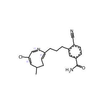 CC1\C=C(Cl)/C=N\C(CCCc2cc(C(N)=O)ccc2C#N)=C\C1